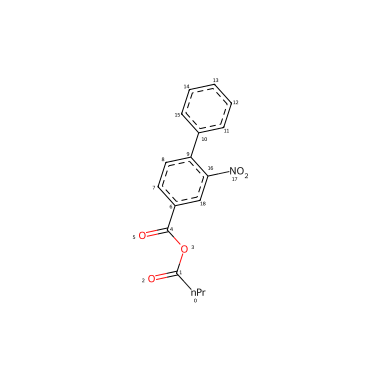 CCCC(=O)OC(=O)c1ccc(-c2ccccc2)c([N+](=O)[O-])c1